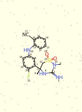 CN1C(=N)N[C@](C)(c2cc(Nc3ccccc3C#N)ccc2F)CS1(=O)=O